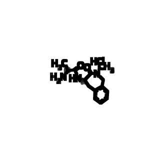 C[C@H](N)C(=O)N[C@H]1Cc2ccccc2CN(C)C1=O.Cl